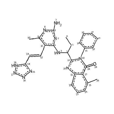 CCC(Nc1nc(N)nc(C)c1C=Cc1nnn[nH]1)c1nc2cccc(C)c2c(=O)n1-c1ccccc1